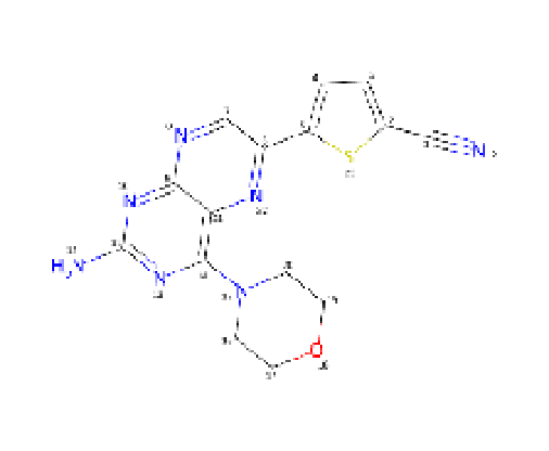 N#Cc1ccc(-c2cnc3nc(N)nc(N4CCOCC4)c3n2)s1